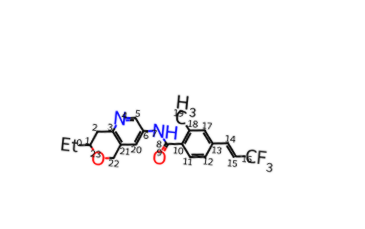 CCC1Cc2ncc(NC(=O)c3ccc(/C=C/C(F)(F)F)cc3C)cc2CO1